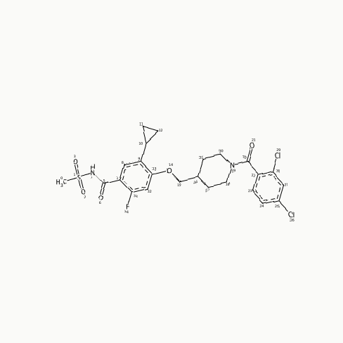 CS(=O)(=O)NC(=O)c1cc(C2CC2)c(OCC2CCN(C(=O)c3ccc(Cl)cc3Cl)CC2)cc1F